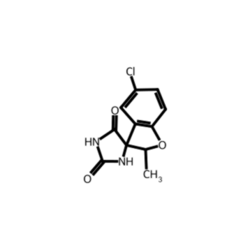 CC1Oc2ccc(Cl)cc2C12NC(=O)NC2=O